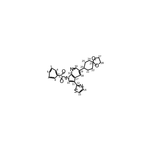 O=S(=O)(c1ccccc1)n1cc(-c2nccs2)c2cc(C3CCC4(CC3)OCCO4)cnc21